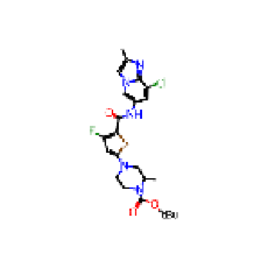 Cc1cn2cc(NC(=O)c3sc(N4CCN(C(=O)OC(C)(C)C)C(C)C4)cc3F)cc(Cl)c2n1